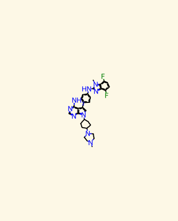 CN1CCN(C2CCC(n3cc(-c4ccc(Nc5nc6c(F)ccc(F)c6n5C)cc4)c4c(N)ncnc43)CC2)CC1